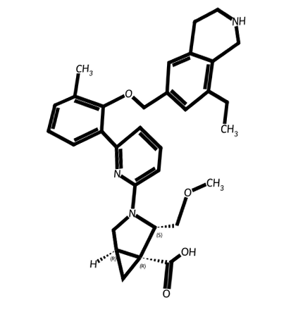 CCc1cc(COc2c(C)cccc2-c2cccc(N3C[C@@H]4C[C@]4(C(=O)O)[C@H]3COC)n2)cc2c1CNCC2